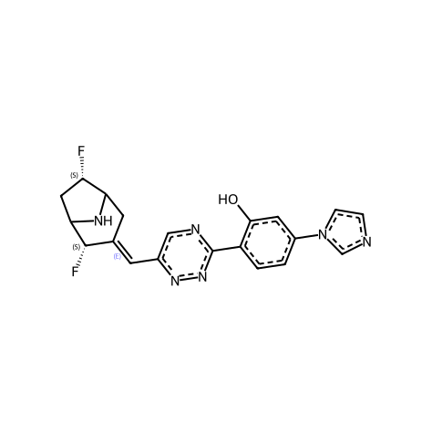 Oc1cc(-n2ccnc2)ccc1-c1ncc(/C=C2\CC3NC(C[C@@H]3F)[C@H]2F)nn1